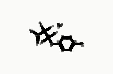 O=S([O-])C(F)(F)C(F)(F)Oc1ccc(Br)cc1.[Na+]